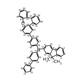 CC1(C)c2ccccc2-c2ccc(N(c3ccc(-c4ccccc4)cc3)c3ccc(-c4ccc5c(c4)-c4ccccc4-c4ccccc4O5)cc3)cc21